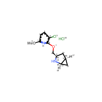 COc1ccc(Cl)c(OC[C@H]2C[C@H]3C[C@H]3N2)n1.Cl